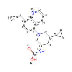 C=Cc1ccc(N2CC(NC(=O)O)CC(C3CC3)C2)c2cccnc12